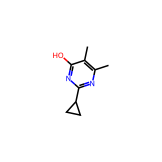 Cc1nc(C2CC2)nc(O)c1C